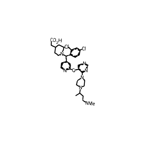 CNCCC(C)N1CCN(c2ncncc2Oc2cc(C(c3ccc(Cl)cc3Cl)N3CCC(CC(=O)O)CC3)ccn2)CC1